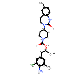 COc1ccc2c(c1)CCN(C1CCN(C(=O)OC(Cc3cc(Cl)c(N)c(C(F)(F)F)c3)C(=O)O)CC1)C(=O)N2